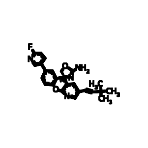 CC(C)(C)C#Cc1cnc2c(c1)[C@]1(COC(N)=N1)c1cc(-c3ccc(F)nc3)ccc1O2